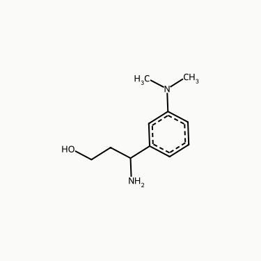 CN(C)c1cccc(C(N)CCO)c1